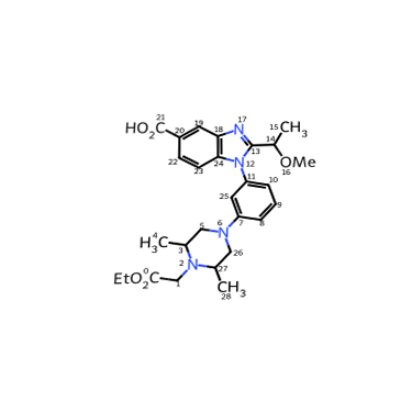 CCOC(=O)CN1C(C)CN(c2cccc(-n3c(C(C)OC)nc4cc(C(=O)O)ccc43)c2)CC1C